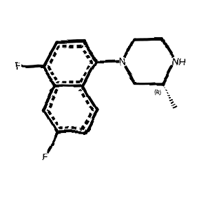 C[C@@H]1CN(c2ccc(F)c3cc(F)ccc23)CCN1